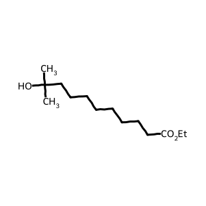 CCOC(=O)CCCCCCCCC(C)(C)O